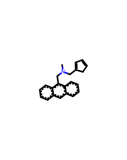 CN(CC1=CC=CC1)Cc1c2ccccc2cc2ccccc12